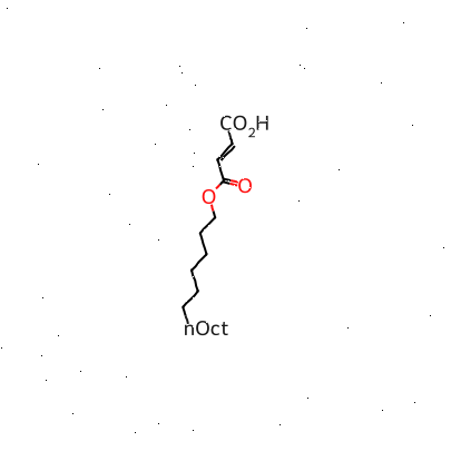 CCCCCCCCCCCCCCOC(=O)/C=C/C(=O)O